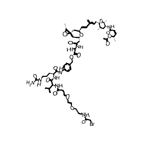 CC(=O)O[C@@H](C)/C=C\C(=O)N[C@@H]1C[C@H](C)[C@H](C/C=C(C)/C=C/[C@@H]2C[C@]3(C[C@@H](CC(=O)NNC(=O)OCc4ccc(NC(=O)[C@H](CCCNC(N)=O)NC(=O)[C@@H](NC(=O)CCOCCOCCNC(=O)CBr)C(C)C)cc4)O2)O[C@@H]3C)O[C@@H]1C